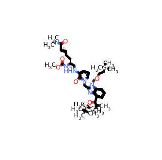 COC(=O)N[C@@H](CC/C=C/C(=O)N(C)C)CNc1cccn(Cc2nc3c(C(O[Si](C)(C)C(C)(C)C)C(C)C)cccc3n2COCC[Si](C)(C)C)c1=O